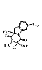 CCC1(SC)C(=O)N2c3cc([N+](=O)[O-])ccc3CC2(SC)C(=O)N1C